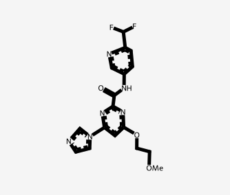 COCCOc1cc(-n2ccnc2)nc(C(=O)Nc2ccc(C(F)F)nc2)n1